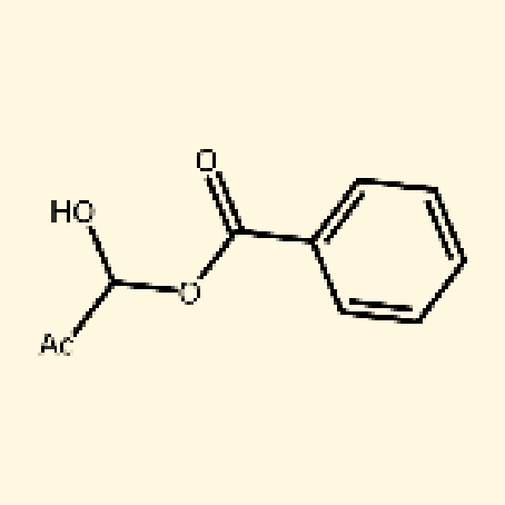 CC(=O)C(O)OC(=O)c1ccccc1